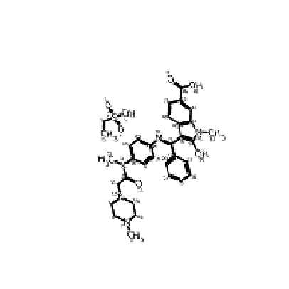 CCS(=O)(=O)O.CN1CCN(CC(=O)N(C)c2ccc(N=C(c3ccccc3)c3c(O)n(C)c4cc(C(=O)O)ccc34)cc2)CC1